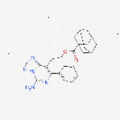 Nc1nc(-c2ccccc2)c(CCOC(=O)C23CC4CC(CC(C4)C2)C3)c2ncnn12